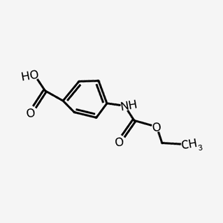 CCOC(=O)Nc1ccc(C(=O)O)cc1